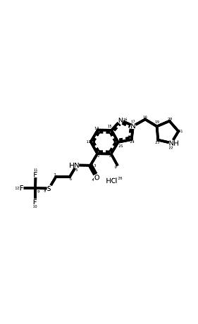 Cc1c(C(=O)NCCSC(F)(F)F)ccc2nn(CC3CCNC3)cc12.Cl